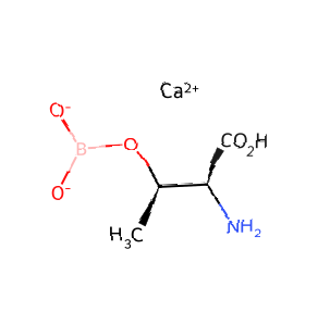 C[C@@H](OB([O-])[O-])[C@H](N)C(=O)O.[Ca+2]